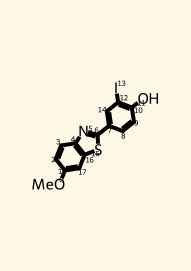 COc1ccc2nc(-c3ccc(O)c(I)c3)sc2c1